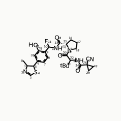 CC1N=CSC1c1ccc(C(F)NC(=O)[C@@H]2CCCN2C(=O)C(NC(=O)C2(C#N)CC2)C(C)(C)C)c(O)c1